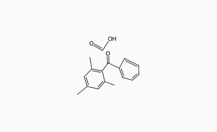 Cc1cc(C)c(C(=O)c2ccccc2)c(C)c1.O=CO